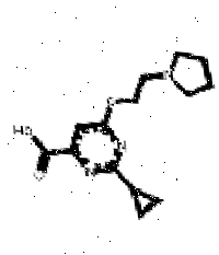 O=C(O)c1cc(OCCN2CCCC2)nc(C2CC2)n1